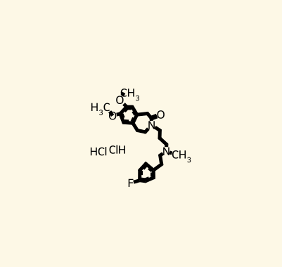 COc1cc2c(cc1OC)CC(=O)N(CCCN(C)CCc1ccc(F)cc1)CC2.Cl.Cl